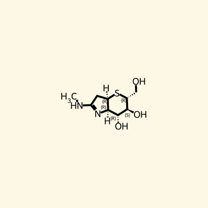 CNC1=N[C@@H]2[C@@H](O)[C@H](O)[C@@H](CO)S[C@@H]2C1